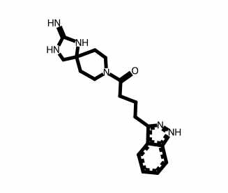 N=C1NCC2(CCN(C(=O)CCCc3n[nH]c4ccccc34)CC2)N1